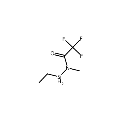 CC[SiH2]N(C)C(=O)C(F)(F)F